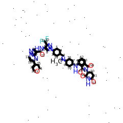 CN(CC1CCC(n2cc(NC(=O)c3cnn4ccc(C5=CCOCC5)nc34)c(C(F)F)n2)CC1)[C@H]1CC[C@H](Nc2cccc3c2C(=O)N(C2CCC(=O)NC2=O)C3=O)CC1